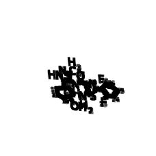 Cc1n[nH]c(C23CCC(O)C(CC2)O3)c1NC(=O)c1nc(-c2c(F)cccc2F)sc1N